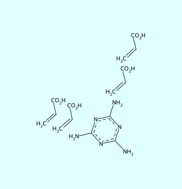 C=CC(=O)O.C=CC(=O)O.C=CC(=O)O.C=CC(=O)O.Nc1nc(N)nc(N)n1